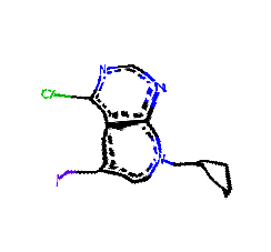 Clc1ncnc2c1c(I)cn2C1CC1